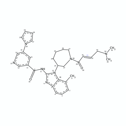 Cc1cccc2nc(NC(=O)c3cncc(-n4cccc4)c3)n(C3CCCCN(C(=O)/C=C/CN(C)C)C3)c12